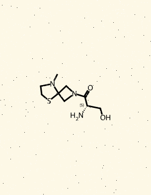 CN1CCSC12CN(C(=O)[C@@H](N)CO)C2